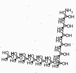 N.OB(O)O.OB(O)O.OB(O)O.OB(O)O.OB(O)O.OB(O)O.OB(O)O.OB(O)O.OB(O)O.OB(O)O.OB(O)O.OB(O)O